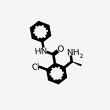 C[C@H](N)c1cccc(Cl)c1C(=O)Nc1ccccc1